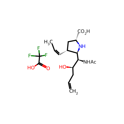 C=CC[C@@H](O)[C@H](NC(C)=O)[C@@H]1N[C@@H](C(=O)O)C[C@H]1/C=C\C.O=C(O)C(F)(F)F